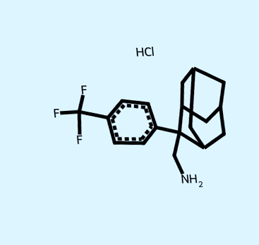 Cl.NCC1(c2ccc(C(F)(F)F)cc2)C2CC3CC(C2)CC1C3